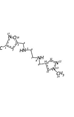 Cc1cc(CNCCNCc2cnn(C)c2)on1